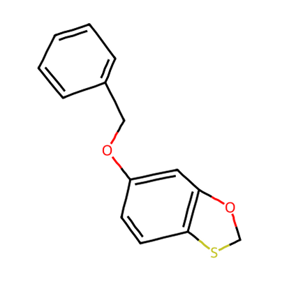 c1ccc(COc2ccc3c(c2)OCS3)cc1